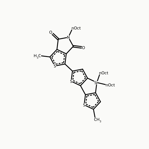 CCCCCCCCN1C(=O)c2c(C)sc(-c3cc4c(s3)-c3sc(C)cc3[Si]4(CCCCCCCC)CCCCCCCC)c2C1=O